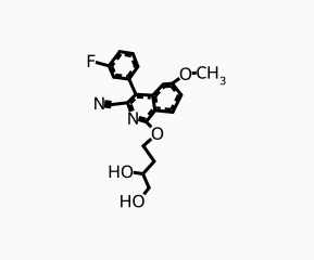 COc1ccc2c(OCCC(O)CO)nc(C#N)c(-c3cccc(F)c3)c2c1